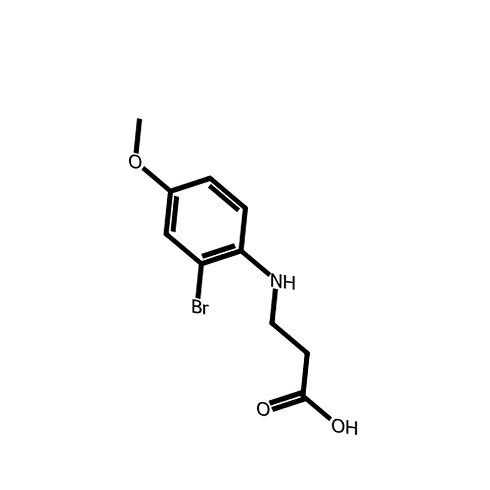 COc1ccc(NCCC(=O)O)c(Br)c1